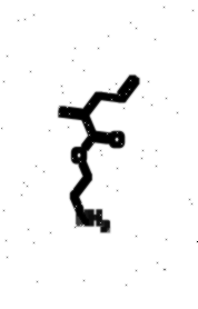 C=CCC(=C)C(=O)OCCN